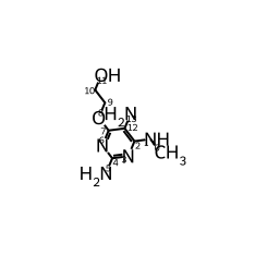 CNc1nc(N)nc(OCCO)c1N